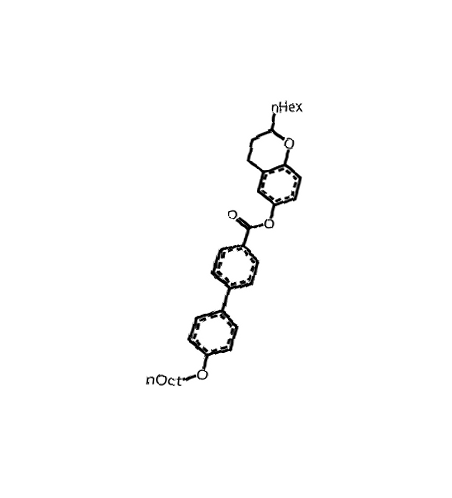 CCCCCCCCOc1ccc(-c2ccc(C(=O)Oc3ccc4c(c3)CCC(CCCCCC)O4)cc2)cc1